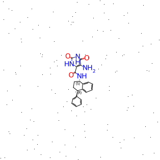 Nc1c(C(=O)N[C@H]2CC[C@H](c3ccccc3)c3ccccc32)[nH]c(=O)[nH]c1=O